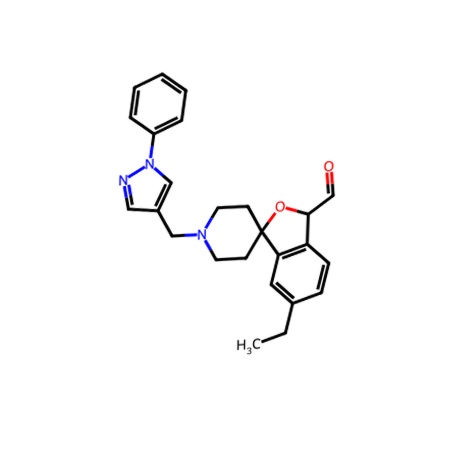 CCc1ccc2c(c1)C1(CCN(Cc3cnn(-c4ccccc4)c3)CC1)OC2C=O